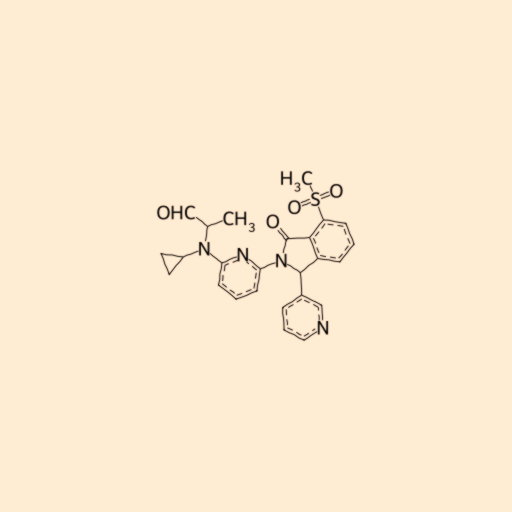 CC(C=O)N(c1cccc(N2C(=O)c3c(cccc3S(C)(=O)=O)C2c2cccnc2)n1)C1CC1